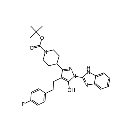 CC(C)(C)OC(=O)N1CCC(c2nn(-c3nc4ccccc4[nH]3)c(O)c2CCc2ccc(F)cc2)CC1